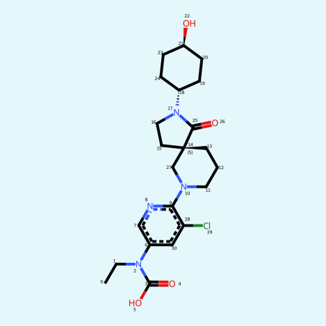 CCN(C(=O)O)c1cnc(N2CCC[C@]3(CCN([C@H]4CC[C@H](O)CC4)C3=O)C2)c(Cl)c1